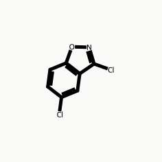 Clc1ccc2onc(Cl)c2c1